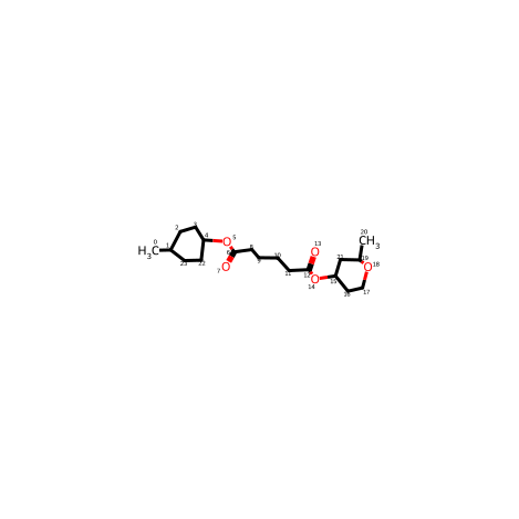 CC1CCC(OC(=O)CCCCC(=O)OC2CCOC(C)C2)CC1